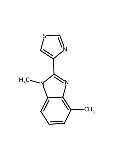 Cc1cccc2c1nc(-c1cscn1)n2C